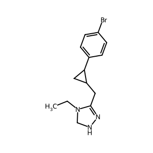 CCN1CNN=C1CC1CC1c1ccc(Br)cc1